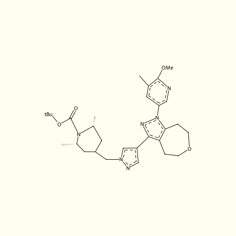 COc1ncc(-n2nc(-c3cnn(CC4C[C@@H](C)N(C(=O)OC(C)(C)C)[C@@H](C)C4)c3)c3c2CCOCC3)cc1C